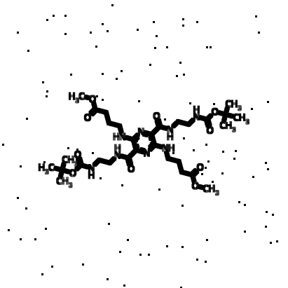 COC(=O)CCCNc1nc(C(=O)NCCNC(=O)OC(C)(C)C)c(NCCCC(=O)OC)nc1C(=O)NCCNC(=O)OC(C)(C)C